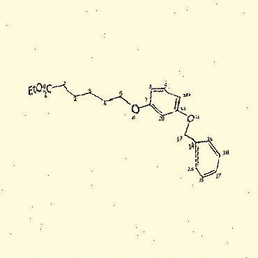 CCOC(=O)CCCCCOc1cccc(OCc2ccccc2)c1